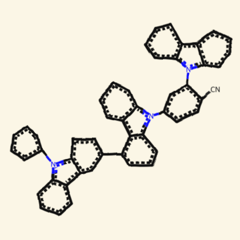 N#Cc1ccc(-n2c3ccccc3c3c(-c4ccc5c(c4)c4ccccc4n5-c4ccccc4)cccc32)cc1-n1c2ccccc2c2ccccc21